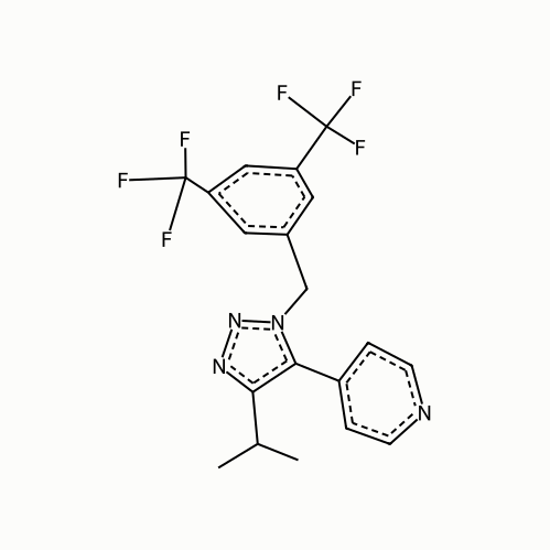 CC(C)c1nnn(Cc2cc(C(F)(F)F)cc(C(F)(F)F)c2)c1-c1ccncc1